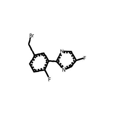 Fc1cnc(-c2cc(CBr)ccc2F)nc1